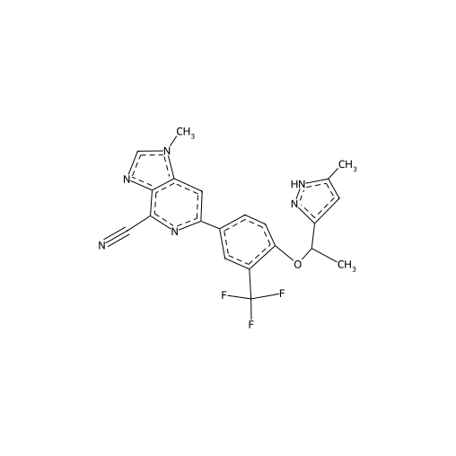 Cc1cc(C(C)Oc2ccc(-c3cc4c(ncn4C)c(C#N)n3)cc2C(F)(F)F)n[nH]1